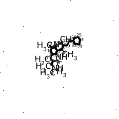 C=C(/C(C(C)=N)=C(\C)NC)c1cc(C)c2nc(C)c(CCc3ccccc3)c(C)c2c1